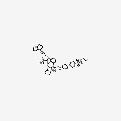 CCC(C)CN(C)S(=O)(=O)N1CCN(c2ccc(OCc3c(-c4cccc5c(CCCOc6cccc7ccccc67)c(C(=O)O)n(CCN6CCOCC6)c45)c(C)nn3C)cc2)CC1